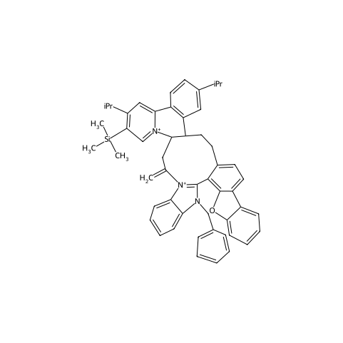 C=C1CC2C(CCc3ccc4c(oc5ccccc54)c3-c3n(Cc4ccccc4)c4ccccc4[n+]31)c1cc(C(C)C)ccc1-c1cc(C(C)C)c([Si](C)(C)C)c[n+]12